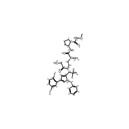 CONC(=O)[C@@H]1CCC[C@@H]1NC(=O)[C@@H](N)CCN(C(=O)CO)[C@@H](c1cc(-c2cc(F)ccc2F)cn1Cc1ccccc1)C(C)(C)C